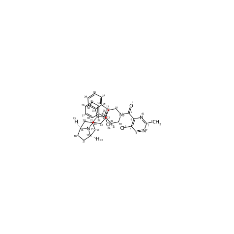 Cc1ncc(Cl)c(C(=O)N2CCC(CCN3[C@@H]4CC[C@H]3CC(n3c(C)nc5ccccc53)C4)(c3ccccc3)CC2)n1